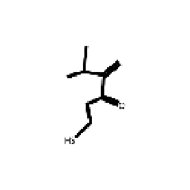 C=C(C(=O)CCS)C(C)C